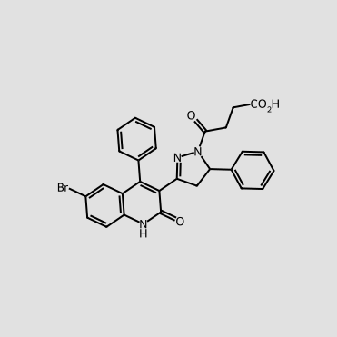 O=C(O)CCC(=O)N1N=C(c2c(-c3ccccc3)c3cc(Br)ccc3[nH]c2=O)CC1c1ccccc1